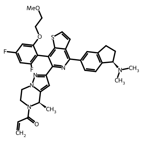 C=CC(=O)N1CCn2nc(-c3nc(-c4ccc5c(c4)CC[C@H]5N(C)C)c4ccsc4c3-c3c(F)cc(F)cc3OCCOC)cc2[C@H]1C